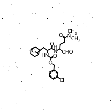 CN(C)C(=O)CC[C@@H](C=O)NC(=O)C(CC1CC2CCC1CC2)NC(=O)OCc1cccc(Cl)c1